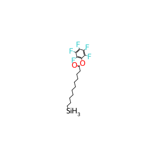 O=C(CCCCCCCCCC[SiH3])Oc1c(F)c(F)c(F)c(F)c1F